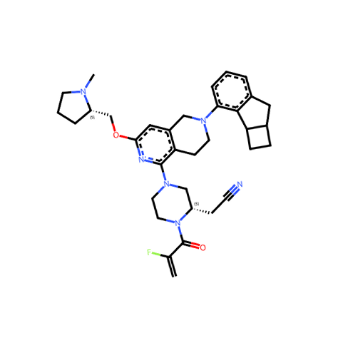 C=C(F)C(=O)N1CCN(c2nc(OC[C@@H]3CCCN3C)cc3c2CCN(c2cccc4c2C2CCC2C4)C3)C[C@@H]1CC#N